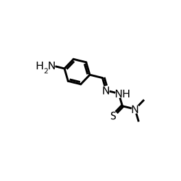 CN(C)C(=S)NN=Cc1ccc(N)cc1